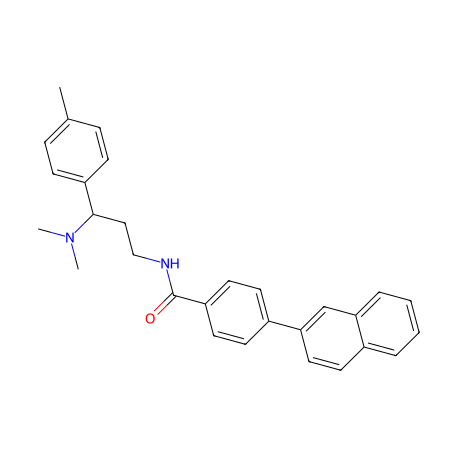 Cc1ccc(C(CCNC(=O)c2ccc(-c3ccc4ccccc4c3)cc2)N(C)C)cc1